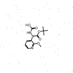 COc1ncccc1N(NC(=O)O)C(=O)OC(C)(C)C